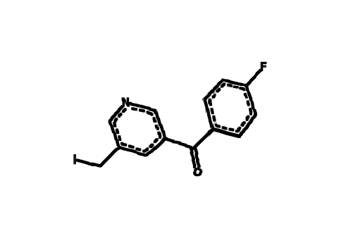 O=C(c1ccc(F)cc1)c1cncc(CI)c1